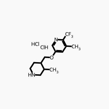 Cc1cc(OCC2CCNCC2C)cnc1C(F)(F)F.Cl.Cl